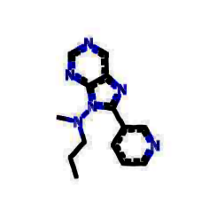 CCCN(C)n1c(-c2cccnc2)nc2cncnc21